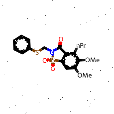 CCCc1c(OC)c(OC)cc2c1C(=O)N(CSc1ccccc1)S2(=O)=O